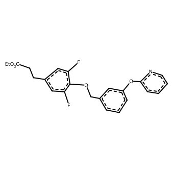 CCOC(=O)CCc1cc(F)c(OCc2cccc(Oc3ccccn3)c2)c(F)c1